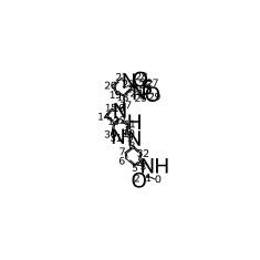 CC(=O)Nc1cccc(Nc2cc3c(ccn3Cc3cccnc3N(C)S(C)(=O)=O)cn2)c1